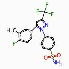 Cc1cc(-c2cc(C(F)(F)F)nn2-c2ccc(S(N)(=O)=O)cc2)ccc1F